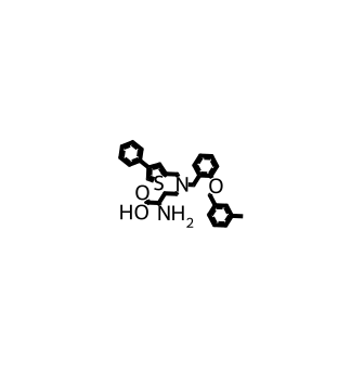 Cc1cccc(COc2ccccc2CN(CCC(N)C(=O)O)Cc2cc(-c3ccccc3)cs2)c1